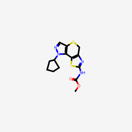 COC(=O)Nc1nc2c(s1)-c1c(cnn1C1CCCC1)SC2